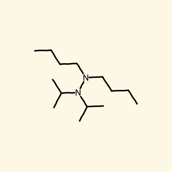 CCCCN(CCCC)N(C(C)C)C(C)C